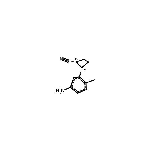 Cc1ccc(N)cc1[C@H]1CC[C@H]1C#N